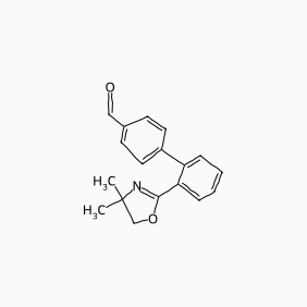 CC1(C)COC(c2ccccc2-c2ccc(C=O)cc2)=N1